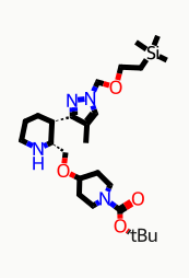 Cc1cn(COCC[Si](C)(C)C)nc1[C@H]1CCCN[C@H]1COC1CCN(C(=O)OC(C)(C)C)CC1